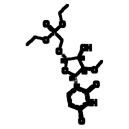 CCOP(=O)(CO[C@H]1O[C@@H](n2ccc(=O)[nH]c2=O)[C@H](OC)[C@@H]1O)OCC